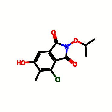 Cc1c(O)cc2c(c1Cl)C(=O)N(OC(C)C)C2=O